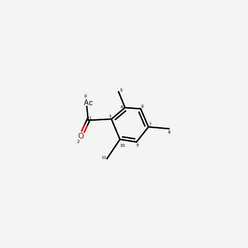 CC(=O)C(=O)c1c(C)cc(C)cc1C